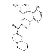 Cc1ncnc(-c2ccc(C(=O)N3CCN4CCCCC4C3)cc2)c1-c1ccc(N)nc1